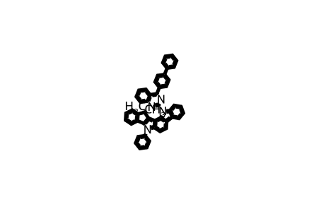 CC1(C)c2ccccc2-c2c1c1c(ccc3c4ccccc4n(-c4nc(-c5ccc(-c6ccccc6)cc5)c5ccccc5n4)c31)n2-c1ccccc1